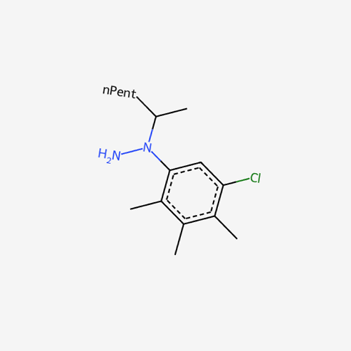 CCCCCC(C)N(N)c1cc(Cl)c(C)c(C)c1C